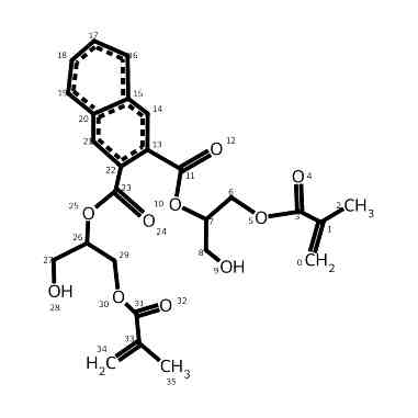 C=C(C)C(=O)OCC(CO)OC(=O)c1cc2ccccc2cc1C(=O)OC(CO)COC(=O)C(=C)C